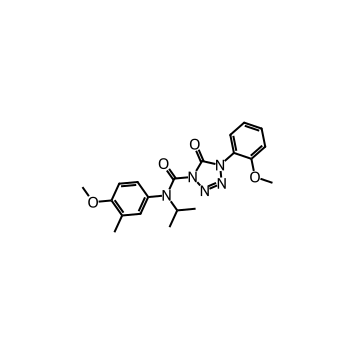 COc1ccc(N(C(=O)n2nnn(-c3ccccc3OC)c2=O)C(C)C)cc1C